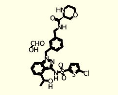 CC(O)c1cccc2c1c(NS(=O)(=O)c1ccc(Cl)s1)nn2Cc1cccc(CNC(=O)[C@@H]2COCCN2)c1.O=CO